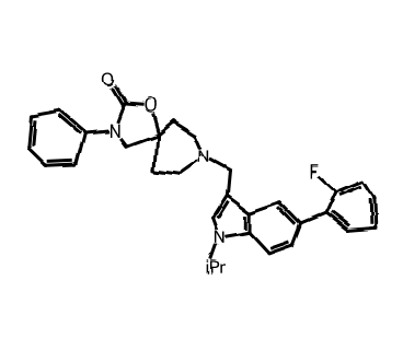 CC(C)n1cc(CN2CCC3(CC2)CN(c2ccccc2)C(=O)O3)c2cc(-c3ccccc3F)ccc21